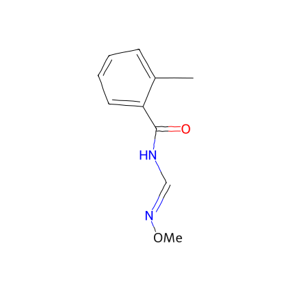 CON=CNC(=O)c1ccccc1C